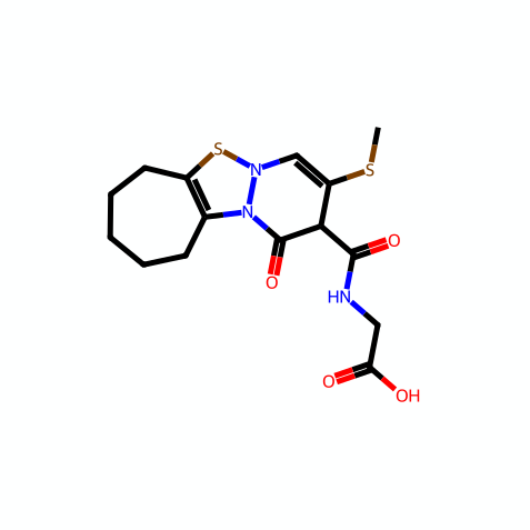 CSC1=CN2SC3=C(CCCCC3)N2C(=O)C1C(=O)NCC(=O)O